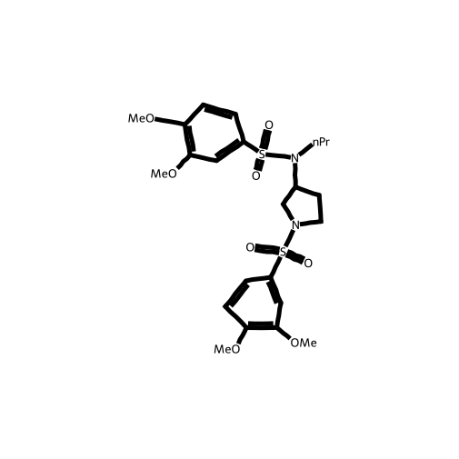 CCCN(C1CCN(S(=O)(=O)c2ccc(OC)c(OC)c2)C1)S(=O)(=O)c1ccc(OC)c(OC)c1